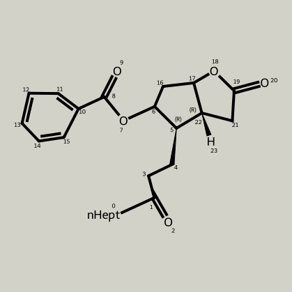 CCCCCCCC(=O)CC[C@H]1C(OC(=O)c2ccccc2)CC2OC(=O)C[C@@H]21